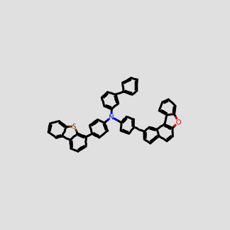 c1ccc(-c2cccc(N(c3ccc(-c4ccc5ccc6oc7ccccc7c6c5c4)cc3)c3ccc(-c4cccc5c4sc4ccccc45)cc3)c2)cc1